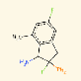 Cc1cc(F)cc2c1C(N)C(F)(P)C2